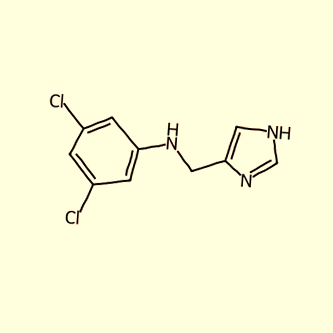 Clc1cc(Cl)cc(NCc2c[nH]cn2)c1